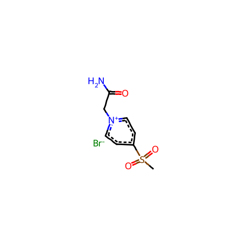 CS(=O)(=O)c1cc[n+](CC(N)=O)cc1.[Br-]